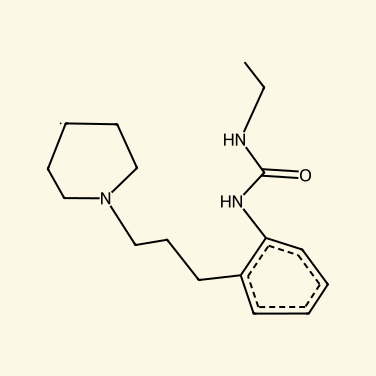 CCNC(=O)Nc1ccccc1CCCN1CC[CH]CC1